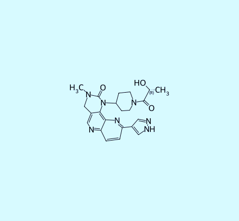 C[C@@H](O)C(=O)N1CCC(N2C(=O)N(C)Cc3cnc4ccc(-c5cn[nH]c5)nc4c32)CC1